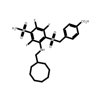 NS(=O)(=O)c1c(F)c(F)c(S(=O)(=O)Cc2ccc(C(=O)O)cc2)c(NCC2CCCCCCC2)c1F